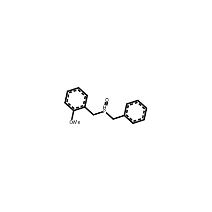 COc1ccccc1C[PH](=O)Cc1ccccc1